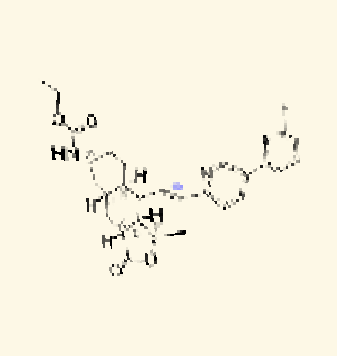 CCOC(=O)N[C@@H]1CC[C@H]2C(/C=C/c3ccc(-c4cccc(F)c4)cn3)[C@@H]3[C@@H](C)OC(=O)[C@@H]3C[C@@H]2C1